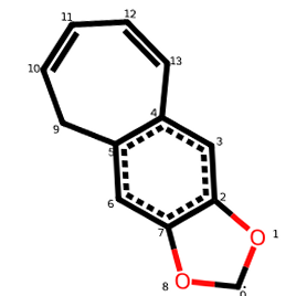 [CH]1Oc2cc3c(cc2O1)CC=CC=C3